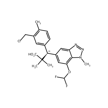 Cc1ccc([C@@H](c2cc(OC(F)F)c3c(c2)nnn3C)C(C)(C)C(=O)O)cc1CCl